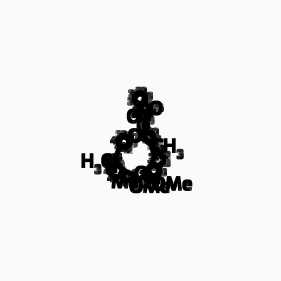 COC1=CC2=C3CC1Oc1c(OC)c(OC)cc4c1C(Cc1ccc(OCN5C(=O)c6ccccc6C5=O)c(c1)Oc1ccc(cc1)C[C@@H]3N(C)CC2)N(C)CC4